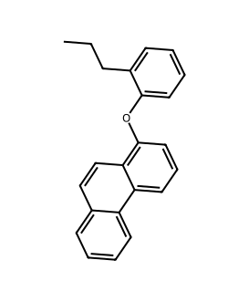 CCCc1ccccc1Oc1cccc2c1ccc1ccccc12